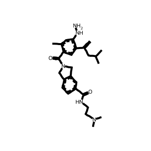 C=C(CC(C)C)c1cc(C(=O)N2Cc3ccc(C(=O)NCCN(C)C)cc3C2)c(C)cc1NN